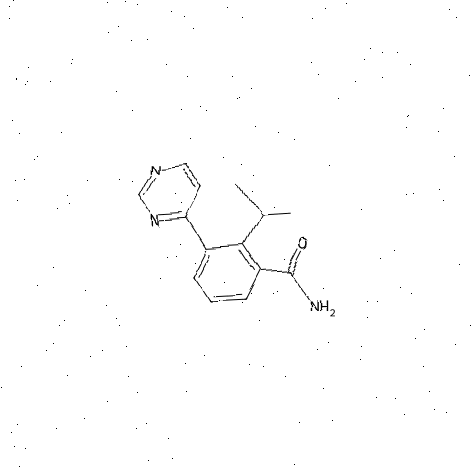 CC(C)c1c(C(N)=O)cccc1-c1ccncn1